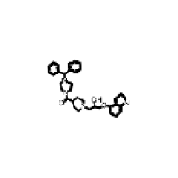 O=C(C1CCN(C[C@@H](O)COc2cccc3ncccc23)CC1)N1CCN(C(c2ccccc2)c2ccccc2)CC1